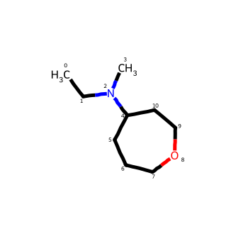 CCN(C)C1CCCOCC1